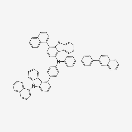 c1ccc2cc(-c3ccc(-c4ccc(N(c5ccc(-c6cccc7c6c6ccccc6n7-c6cccc7ccccc67)cc5)c5ccc(-c6cccc7ccccc67)c6sc7ccccc7c56)cc4)cc3)ccc2c1